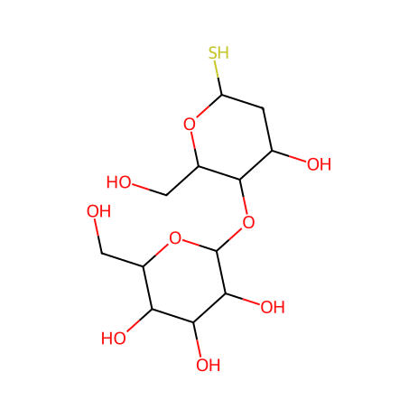 OCC1OC(OC2C(O)CC(S)OC2CO)C(O)C(O)C1O